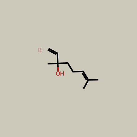 C=CC(C)(O)CCC=C(C)C.[B]